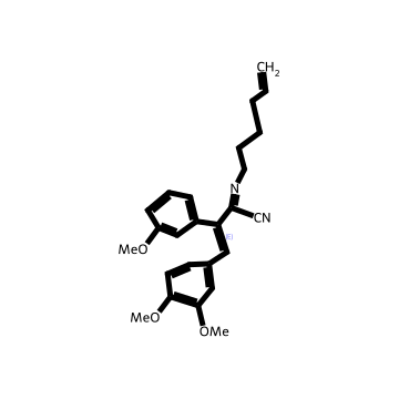 C=CCCCCN=C(C#N)/C(=C/c1ccc(OC)c(OC)c1)c1cccc(OC)c1